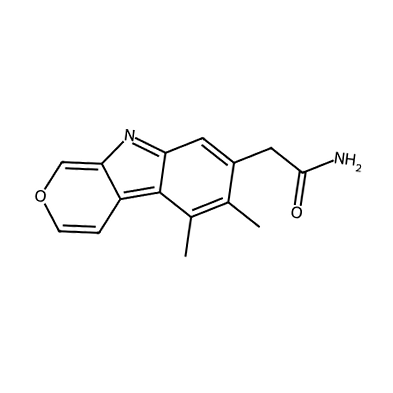 Cc1c(CC(N)=O)cc2nc3coccc-3c2c1C